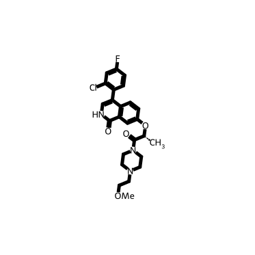 COCCN1CCN(C(=O)[C@@H](C)Oc2ccc3c(-c4ccc(F)cc4Cl)c[nH]c(=O)c3c2)CC1